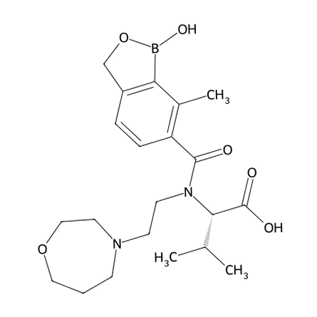 Cc1c(C(=O)N(CCN2CCCOCC2)[C@H](C(=O)O)C(C)C)ccc2c1B(O)OC2